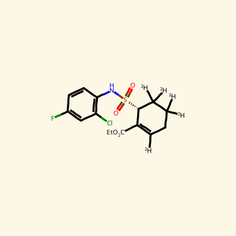 [2H]C1=C(C(=O)OCC)[C@H](S(=O)(=O)Nc2ccc(F)cc2Cl)C([2H])([2H])C([2H])([2H])C1